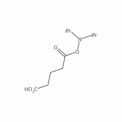 CC(C)N(OC(=O)CCCC(=O)O)C(C)C